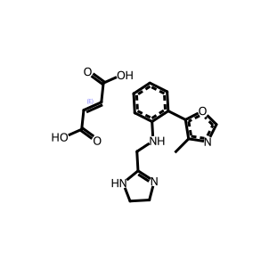 Cc1ncoc1-c1ccccc1NCC1=NCCN1.O=C(O)/C=C/C(=O)O